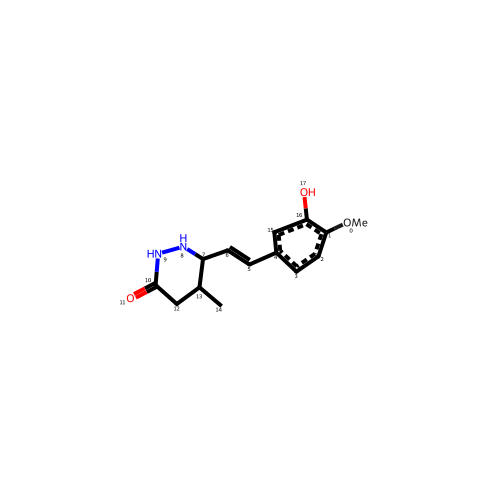 COc1ccc(/C=C/C2NNC(=O)CC2C)cc1O